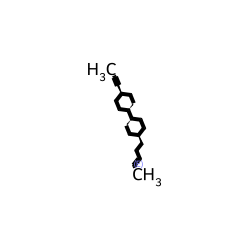 CC#C[C@H]1CC[C@H]([C@H]2CC[C@H](CC/C=C/C)CC2)CC1